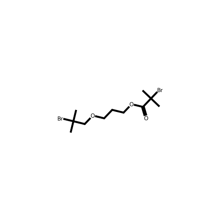 CC(C)(Br)COCCCOC(=O)C(C)(C)Br